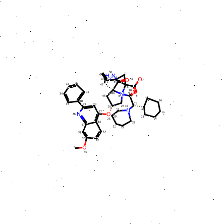 C=CC1CC1(C(=O)[O-])[N+]1(C(=O)[C@H](C2CCCCC2)N2CCCCC2)C[C@H](Oc2cc(-c3ccccc3)nc3cc(OC)ccc23)C[C@@]1(CC)C(N)=O